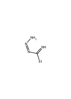 CCC(=N)/N=N\N